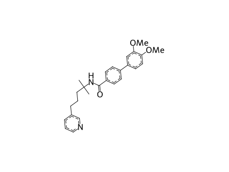 COc1ccc(-c2ccc(C(=O)NC(C)(C)CCCc3cccnc3)cc2)cc1OC